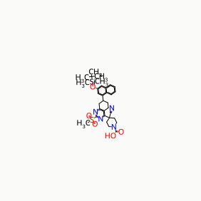 CC(C)(C)[Si](C)(C)Oc1cc(C2CCc3c(nc(S(C)(=O)=O)nc3C3(C#N)CCN(C(=O)O)CC3)C2)c2ccccc2c1